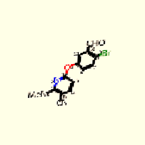 CNc1nc(Oc2ccc(Br)c(C=O)c2)ccc1C#N